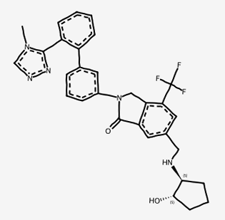 Cn1cnnc1-c1ccccc1-c1cccc(N2Cc3c(cc(CN[C@H]4CCC[C@@H]4O)cc3C(F)(F)F)C2=O)c1